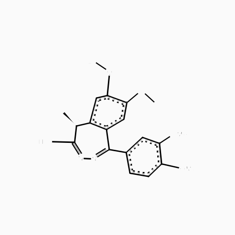 CCOc1cc2c(cc1OCC)[C@H](CC)C(C)=NN=C2c1ccc(OC)c(OC)c1